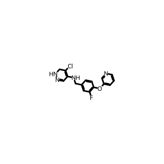 Fc1cc(CNC2=C(Cl)CNN=C2)ccc1Oc1cccnc1